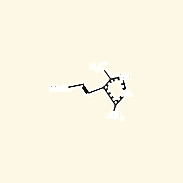 COC=Cc1c(C)n[nH]c1C